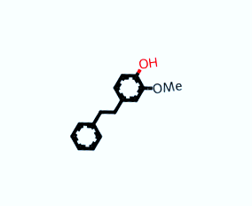 COc1cc(CCc2ccccc2)ccc1O